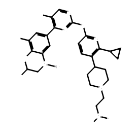 CC(C)N1CC(F)Oc2c(F)cc(-c3nc(Nc4ccc(C5CCN(CCN(C)C)CC5)c(C5CC5)n4)ncc3F)cc21